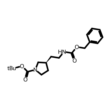 CC(C)(C)OC(=O)N1CC[C@H](CCNC(=O)OCc2ccccc2)C1